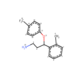 Cc1ccccc1C(CCN)Oc1ccc(C(F)(F)F)cc1